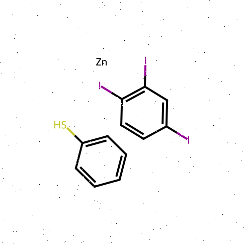 Ic1ccc(I)c(I)c1.Sc1ccccc1.[Zn]